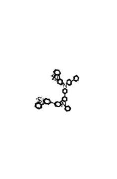 C[Si]1(C)c2ccccc2-c2cc(-c3ccc4c(c3)c3cc(-c5ccc(N(c6ccc(-c7ccccc7)cc6)c6ccc7c(c6)-c6ccccc6[Si]7(C)C)cc5)ccc3n4-c3ccccc3)ccc21